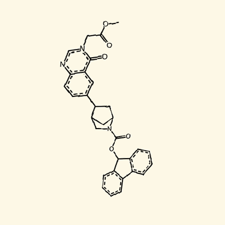 COC(=O)Cn1cnc2ccc(C3CC4CC3CN4C(=O)OC3c4ccccc4-c4ccccc43)cc2c1=O